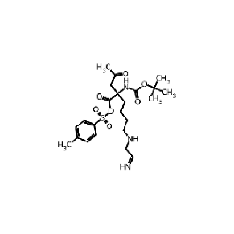 CC(=O)CC(CCCCNCC=N)(NC(=O)OC(C)(C)C)C(=O)OS(=O)(=O)c1ccc(C)cc1